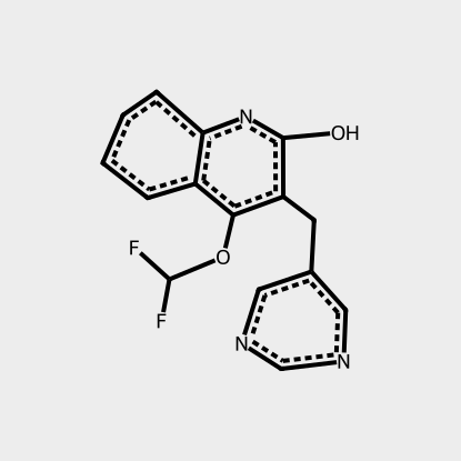 Oc1nc2ccccc2c(OC(F)F)c1Cc1cncnc1